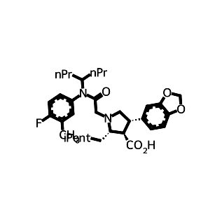 CCCC(C)C[C@H]1[C@H](C(=O)O)[C@@H](c2ccc3c(c2)OCO3)CN1CC(=O)N(c1ccc(F)c(C)c1)C(CCC)CCC